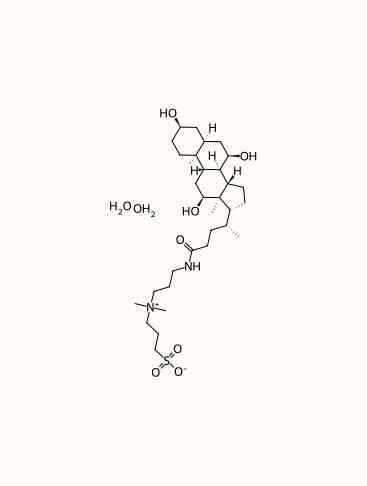 C[C@H](CCC(=O)NCCC[N+](C)(C)CCCS(=O)(=O)[O-])[C@H]1CC[C@H]2[C@@H]3[C@H](O)C[C@@H]4C[C@H](O)CC[C@]4(C)[C@H]3C[C@H](O)[C@]12C.O.O